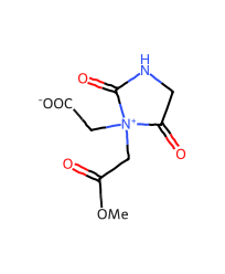 COC(=O)C[N+]1(CC(=O)[O-])C(=O)CNC1=O